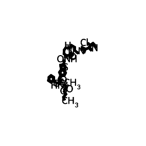 CCCOC(=O)[C@H](C)NP(=O)(Cc1ccc2sc(C(=O)N[C@H]3CCC[C@H]4CCC(CN5CC(c6cnccc6Cl)C5)N4C3=O)cc2c1)Oc1ccccc1